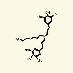 CC(C)(C)c1cc(CC=CN(C=CCc2cc(C(C)(C)C)c(O)c(C(C)(C)C)c2)CCCCCCN)cc(C(C)(C)C)c1O